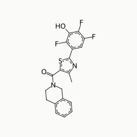 Cc1nc(-c2cc(F)c(F)c(O)c2F)sc1C(=O)N1CCc2ccccc2C1